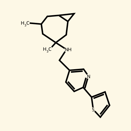 CC1CC2CC2CC(C)(NCc2ccc(-c3cccs3)nc2)C1